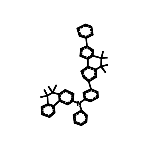 CC1(C)c2ccccc2-c2cc(N(c3ccccc3)c3cccc(-c4ccc5c(c4)C(C)(C)C(C)(C)c4cc(-c6ccccc6)ccc4-5)c3)ccc2C1(C)C